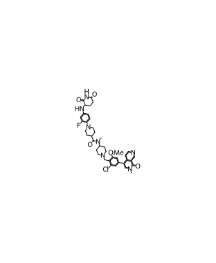 COc1cc(-c2cn(C)c(=O)c3cnccc23)cc(Cl)c1CN1CCC(N(C)C(=O)C2CCN(c3ccc(NC4CCC(=O)NC4=O)cc3F)CC2)CC1